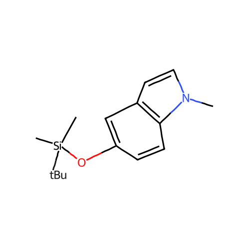 Cn1ccc2cc(O[Si](C)(C)C(C)(C)C)ccc21